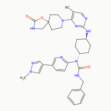 Cn1cc(-c2ccc(N(C(=O)NCc3ccccc3)[C@H]3CC[C@H](Nc4ncc(C#N)c(N5CCC6(CC5)CNC(=O)O6)n4)CC3)nc2)cn1